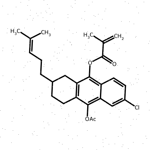 C=C(C)C(=O)Oc1c2c(c(OC(C)=O)c3cc(Cl)ccc13)CCC(CCC=C(C)C)C2